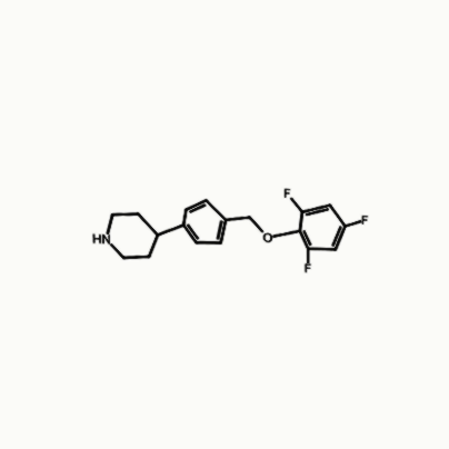 Fc1cc(F)c(OCc2ccc(C3CCNCC3)cc2)c(F)c1